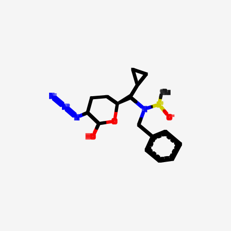 CC(C)(C)[S+]([O-])N(Cc1ccccc1)C(C1CC1)[C@@H]1CCC(N=[N+]=[N-])C(O)O1